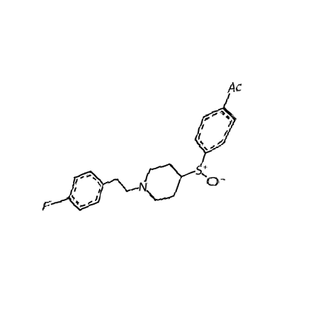 CC(=O)c1ccc([S+]([O-])C2CCN(CCc3ccc(F)cc3)CC2)cc1